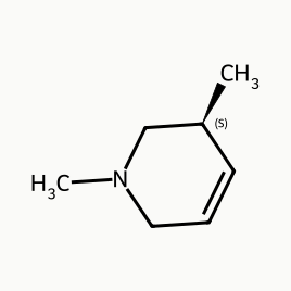 C[C@H]1C=CCN(C)C1